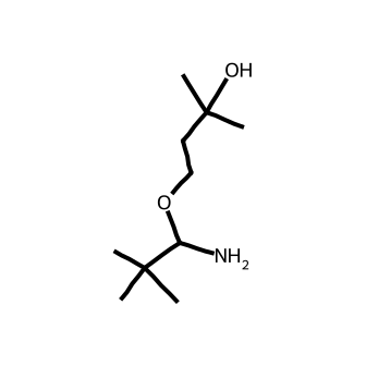 CC(C)(O)CCOC(N)C(C)(C)C